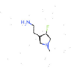 CN1CC(F)C(CCN)C1